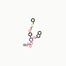 CC(C)(C)OC(=O)ON1CCC(c2ccc(OCCCSCc3ccccc3)cc2)C(OCc2ccc3ccccc3c2)C1